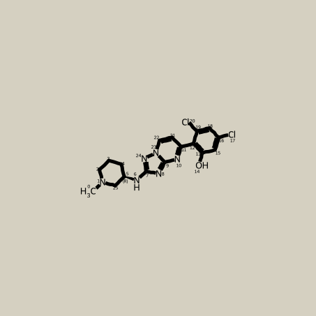 CN1CCC[C@@H](Nc2nc3nc(-c4c(O)cc(Cl)cc4Cl)ccn3n2)C1